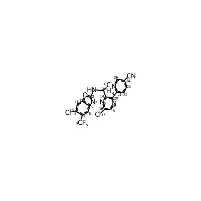 C[C@H](Nc1nc2cc(C(F)(F)F)c(Cl)cc2o1)c1nc(Cl)cnc1-c1ccc(C#N)cn1